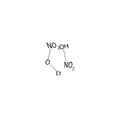 CCO[N+](=O)[O-].O=[N+]([O-])O